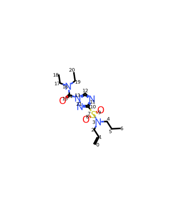 C=CCN(CCC)S(=O)(=O)c1ncn(C(=O)N(CC)CC)n1